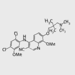 COc1cc(Nc2c(C#N)cnc3c(OC)c(OCC(C)(C)CN(C)C)ccc23)c(Cl)cc1Cl